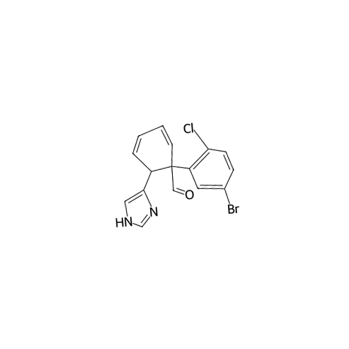 O=CC1(c2cc(Br)ccc2Cl)C=CC=CC1c1c[nH]cn1